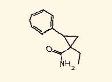 CCC1(C(N)=O)CC1c1ccccc1